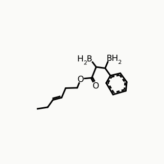 BC(C(=O)OCC/C=C/CC)C(B)c1ccccc1